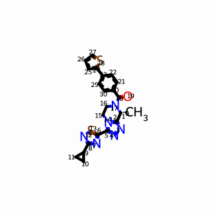 C[C@@H]1c2nnc(-c3nc(C4CC4)ns3)n2CCN1C(=O)c1ccc(-c2cccs2)cc1